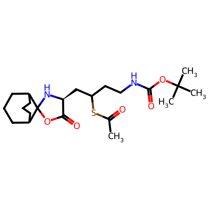 CC(=O)SC(CCNC(=O)OC(C)(C)C)C[C@@H]1NC2(OC1=O)C1CCCC2CCC1